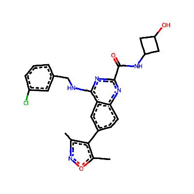 Cc1noc(C)c1-c1ccc2nc(C(=O)NC3CC(O)C3)nc(NCc3cccc(Cl)c3)c2c1